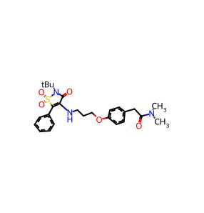 CN(C)C(=O)Cc1ccc(OCCCNC2=C(c3ccccc3)S(=O)(=O)N(C(C)(C)C)C2=O)cc1